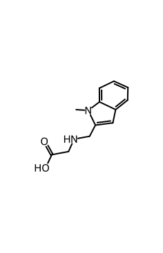 Cn1c(CNCC(=O)O)cc2ccccc21